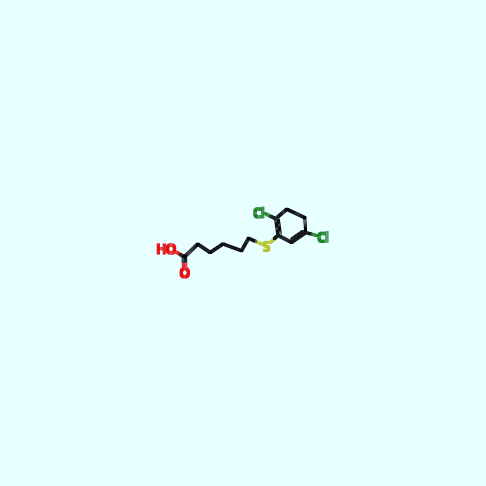 O=C(O)CCCCCSC1=C(Cl)CCC(Cl)=C1